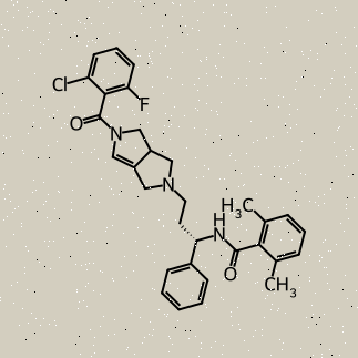 Cc1cccc(C)c1C(=O)N[C@@H](CCN1CC2=CN(C(=O)c3c(F)cccc3Cl)CC2C1)c1ccccc1